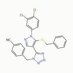 N#Cc1ccc(Cn2nnnc2-c2cnn(-c3ccc(Cl)c(Cl)c3)c2SCc2ccccc2)cc1